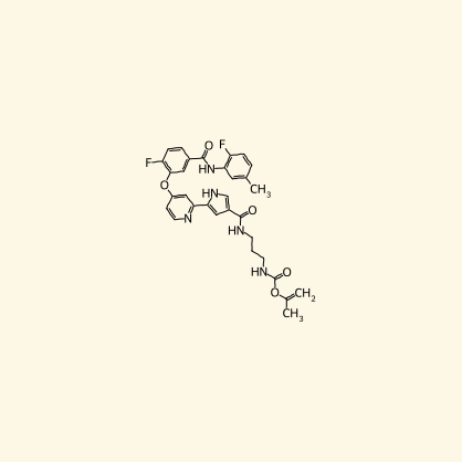 C=C(C)OC(=O)NCCCNC(=O)c1c[nH]c(-c2cc(Oc3cc(C(=O)Nc4cc(C)ccc4F)ccc3F)ccn2)c1